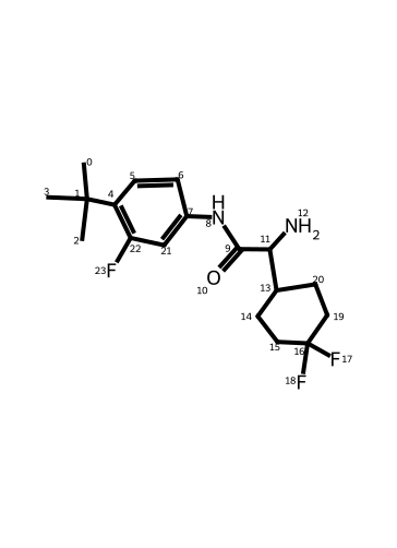 CC(C)(C)c1ccc(NC(=O)C(N)C2CCC(F)(F)CC2)cc1F